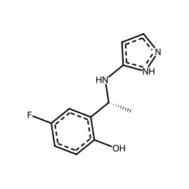 C[C@@H](Nc1ccn[nH]1)c1cc(F)ccc1O